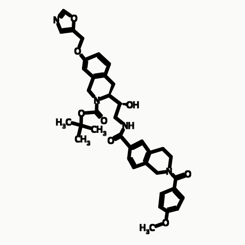 COc1ccc(C(=O)N2CCc3cc(C(=O)NC[C@@H](O)[C@@H]4Cc5ccc(OCc6cnco6)cc5CN4C(=O)OC(C)(C)C)ccc3C2)cc1